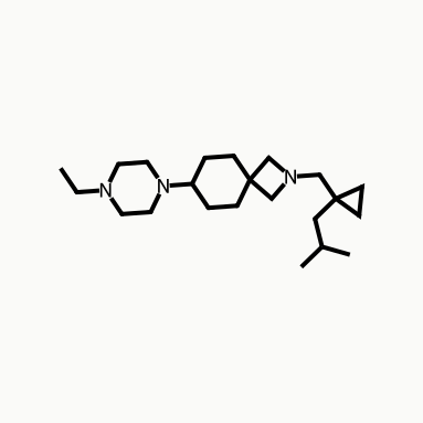 CCN1CCN(C2CCC3(CC2)CN(CC2(CC(C)C)CC2)C3)CC1